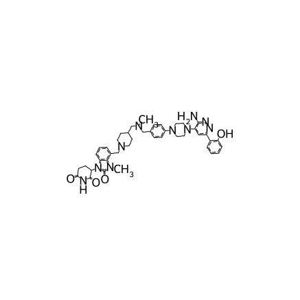 CN(Cc1ccc(N2CCN(c3cc(-c4ccccc4O)nnc3N)CC2)cc1)CC1CCN(Cc2cccc3c2n(C)c(=O)n3C2CCC(=O)NC2=O)CC1